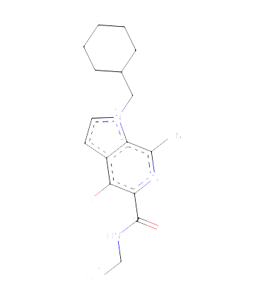 N#Cc1nc(C(=O)NCC(=O)O)c(O)c2ccn(CC3CCCCC3)c12